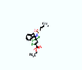 CCCC[S@@+]([O-])N[C@]1(C(F)(F)/C=C(\F)C(=O)OCC)Cc2ccccc21